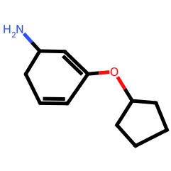 NC1C=C(OC2CCCC2)C=CC1